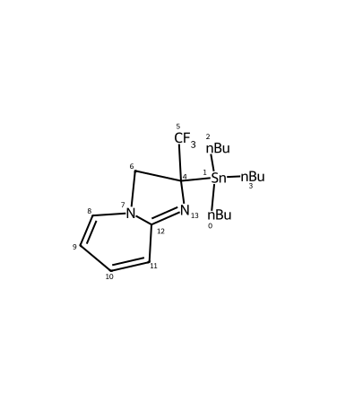 CCC[CH2][Sn]([CH2]CCC)([CH2]CCC)[C]1(C(F)(F)F)CN2C=CC=CC2=N1